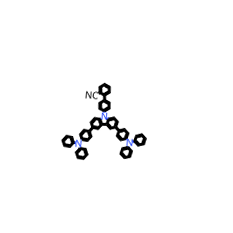 N#Cc1ccccc1-c1ccc(-n2c3ccc(-c4ccc(N(c5ccccc5)c5ccccc5)cc4)cc3c3cc(-c4ccc(N(c5ccccc5)c5ccccc5)cc4)ccc32)cc1